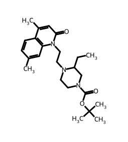 CCC1CN(C(=O)OC(C)(C)C)CCN1CCn1c(=O)cc(C)c2ccc(C)cc21